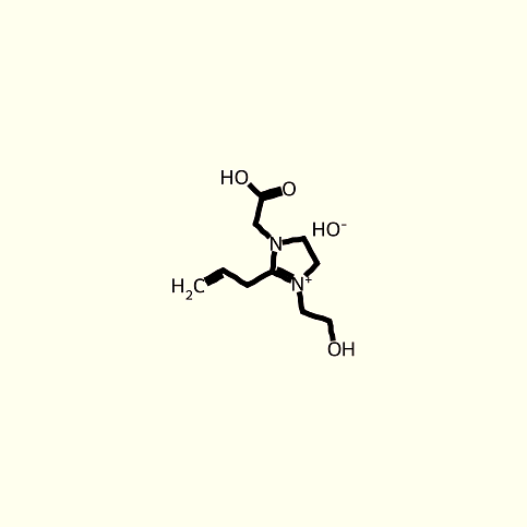 C=CCC1=[N+](CCO)CCN1CC(=O)O.[OH-]